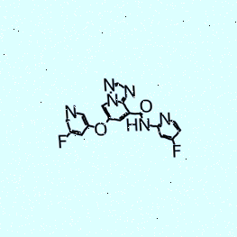 O=C(Nc1cc(F)ccn1)c1cc(Oc2cncc(F)c2)cn2ncnc12